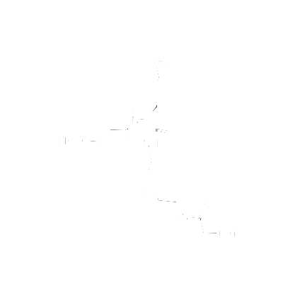 CC(C)(C)CSC[C@H](NC(=O)CCC(=O)O)C(=O)NCCS(=O)(=O)CCNC(=O)CC(C)(C)C